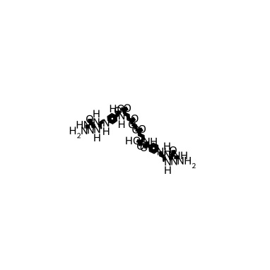 Nc1nc2c(c(=O)[nH]1)NC(CNc1ccc(C(=O)NC(CCC(=O)OCOC(=O)CCC(NC(=O)c3ccc(NCC4CNc5nc(N)[nH]c(=O)c5N4)cc3)C(=O)O)C(=O)O)cc1)CN2